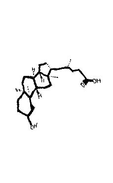 C[C@H](CCC(=O)O)[C@H]1CC[C@H]2[C@@H]3CC[C@@H]4CCC(O)C[C@]4(C)[C@H]3CC[C@]12C